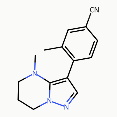 Cc1cc(C#N)ccc1-c1cnn2c1N(C)CCC2